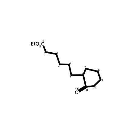 CCOC(=O)CCCCCC1CCCCC1=O